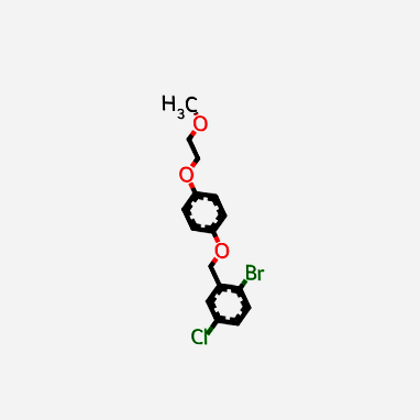 COCCOc1ccc(OCc2cc(Cl)ccc2Br)cc1